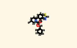 C[C@H]1CC=C(c2ccc3scnc3c2)N(C(=O)OCc2ccccc2)C1